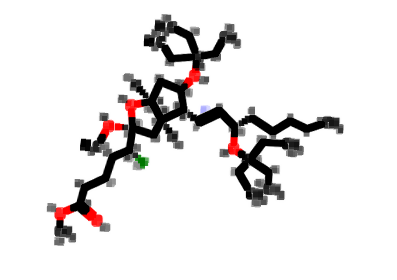 CCCCC[C@@H](/C=C/[C@@H]1[C@H]2C[C@@](OC)([C@H](F)CCCC(=O)OC)O[C@H]2C[C@H]1O[Si](CC)(CC)CC)O[Si](CC)(CC)CC